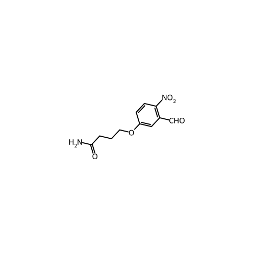 NC(=O)CCCOc1ccc([N+](=O)[O-])c(C=O)c1